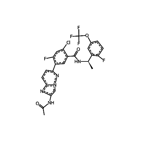 CC(=O)Nc1cn2nc(-c3cc(C(=O)N[C@H](C)c4cc(OC(F)(F)F)ccc4F)c(Cl)cc3F)ccc2n1